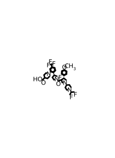 COc1ccc([C@@H]2CN(C3CCN(C(CF)CF)CC3)C[C@@]2(F)C(=O)N2CC[C@@H](c3ccc(C(F)(F)F)cc3N3CCC(C(=O)O)CC3)C2)cc1